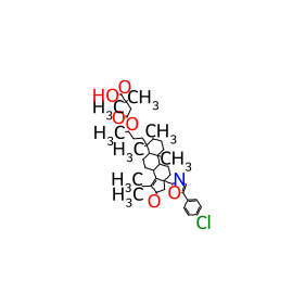 CC(CCC1(C)C(C)CCC2(C)C3CCC4(c5ncc(-c6ccc(Cl)cc6)o5)CC(=O)C(C(C)C)=C4C3CCC12)OC(=O)CC(C)(C)C(=O)O